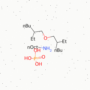 CCCCC(CC)COCC(CC)CCCC.CCCCCCCCN.O=P(O)(O)O